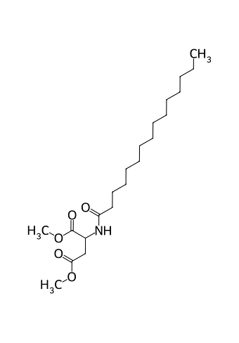 CCCCCCCCCCCCCCC(=O)NC(CC(=O)OC)C(=O)OC